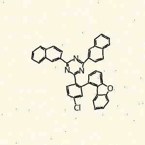 Clc1ccc(-c2nc(-c3ccc4ccccc4c3)nc(-c3ccc4ccccc4c3)n2)c(-c2cccc3oc4ccccc4c23)c1